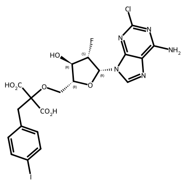 Nc1nc(Cl)nc2c1ncn2[C@@H]1O[C@H](COC(Cc2ccc(I)cc2)(C(=O)O)C(=O)O)[C@@H](O)[C@@H]1F